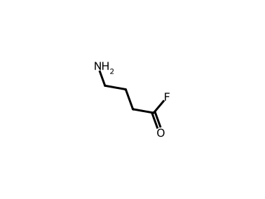 NCCCC(=O)F